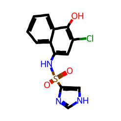 O=S(=O)(Nc1cc(Cl)c(O)c2ccccc12)c1c[nH]cn1